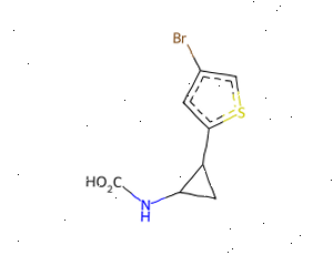 O=C(O)NC1CC1c1cc(Br)cs1